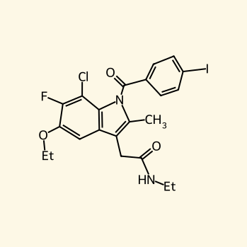 CCNC(=O)Cc1c(C)n(C(=O)c2ccc(I)cc2)c2c(Cl)c(F)c(OCC)cc12